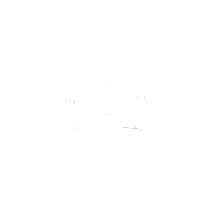 Bc1c(C)c(C)c(B)c2c(B)c(C)c(C)c(B)c12